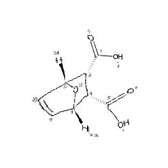 O=C(O)[C@@H]1[C@H](C(=O)O)[C@@H]2C=C[C@H]1O2